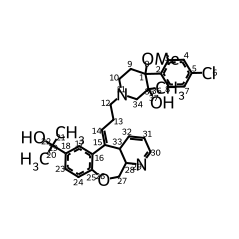 COC1(c2ccc(Cl)cc2)CCN(CC/C=C2/c3cc(C(C)(C)O)ccc3OCC3N=CC=CC23)CC1(C)O